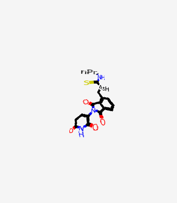 CCCNC(=S)[AsH]Cc1cccc2c1C(=O)N(C1CCC(=O)NC1=O)C2=O